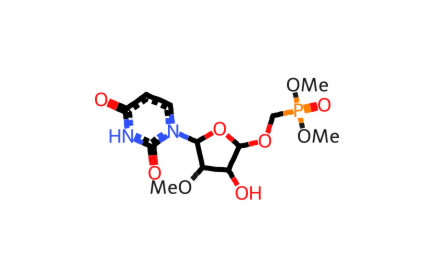 COC1C(O)C(OCP(=O)(OC)OC)OC1n1ccc(=O)[nH]c1=O